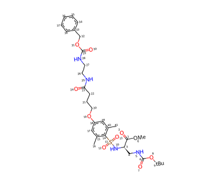 COC(=O)[C@@H](CNC(=O)OC(C)(C)C)NS(=O)(=O)c1c(C)cc(OCCCC(=O)NCCNC(=O)OCc2ccccc2)cc1C